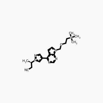 C[C@H](CC#N)n1cc(-c2ncnc3c2ccn3COCC[Si](C)(C)C)cn1